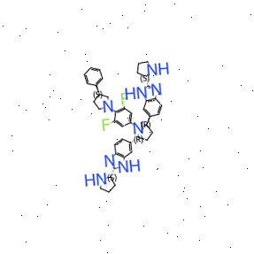 Fc1cc(N2[C@@H](c3ccc4nc([C@@H]5CCCN5)[nH]c4c3)CC[C@@H]2c2ccc3nc([C@@H]4CCCN4)[nH]c3c2)cc(F)c1N1CC[C@@H](c2ccccc2)C1